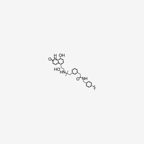 CSc1ccc(CNC(=O)Cc2cccc(CC(C)(C)NC[C@H](O)c3ccc(O)c4[nH]c(=O)ccc34)c2)cc1